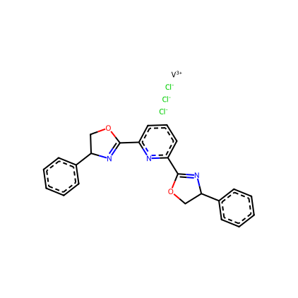 [Cl-].[Cl-].[Cl-].[V+3].c1ccc(C2COC(c3cccc(C4=NC(c5ccccc5)CO4)n3)=N2)cc1